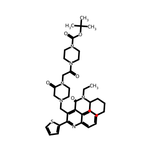 CCN(C(=O)c1c(CN2CCN(CC(=O)N3CCN(C(=O)OC(C)(C)C)CC3)C(=O)C2)c(-c2cccs2)nc2ccccc12)C1CCCCC1